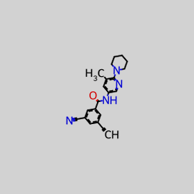 C#Cc1cc(C#N)cc(C(=O)Nc2cnc(N3CCCCC3)c(C)c2)c1